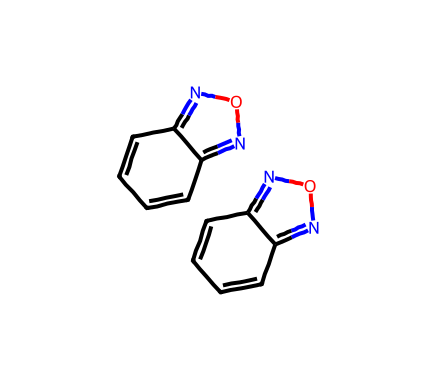 c1ccc2nonc2c1.c1ccc2nonc2c1